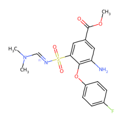 COC(=O)c1cc(N)c(Oc2ccc(F)cc2)c(S(=O)(=O)/N=C/N(C)C)c1